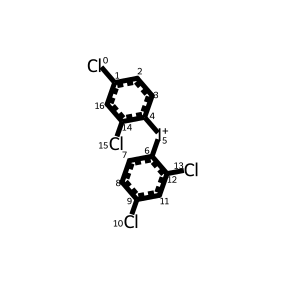 Clc1ccc([I+]c2ccc(Cl)cc2Cl)c(Cl)c1